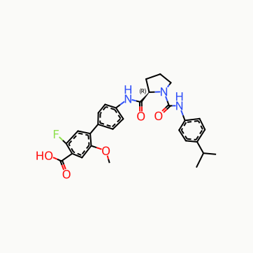 COc1cc(C(=O)O)c(F)cc1-c1ccc(NC(=O)[C@H]2CCCN2C(=O)Nc2ccc(C(C)C)cc2)cc1